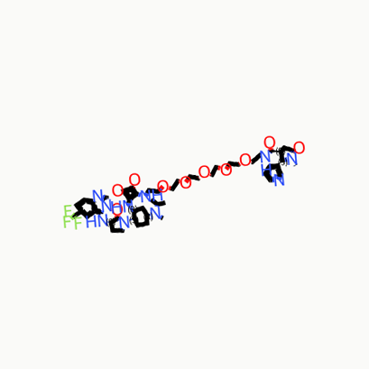 CC(C)N(C)[C@@H]1CC[C@H](N2CC[C@H](Nc3ncnc4ccc(C(F)(F)F)cc34)C2=O)[C@H](Nc2c(NCCOCCOCCOCCOCCOCCNC(=O)[C@H]3CC(=O)N(C)[C@@H]3c3cccnc3)c(=O)c2=O)C1